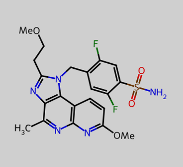 COCCc1nc2c(C)nc3nc(OC)ccc3c2n1Cc1cc(F)c(S(N)(=O)=O)cc1F